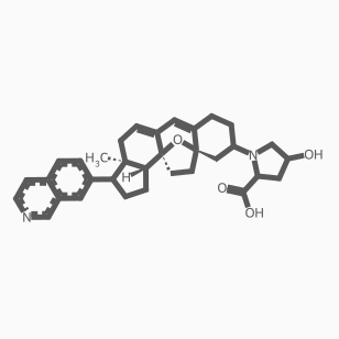 C[C@]12CC=C3C=C4CCC(N5CC(O)CC5C(=O)O)C[C@]45CC[C@]3(O5)[C@@H]1CCC2c1ccc2ccncc2c1